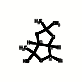 CC[C@H]1OC(C)(O)[C@@H]2OC(C)(C)O[C@@H]21